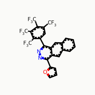 FC(F)(F)c1cc(-c2nnc(-c3ccco3)c3cc4ccccc4cc23)c(C(F)(F)F)c(C(F)(F)F)c1C(F)(F)F